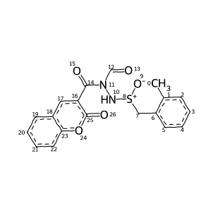 Cc1ccccc1C[S+]([O-])NN(C=O)C(=O)c1cc2ccccc2oc1=O